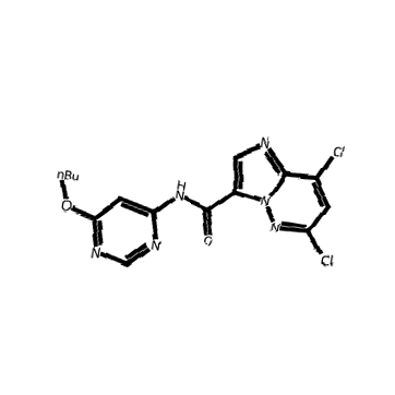 CCCCOc1cc(NC(=O)c2cnc3c(Cl)cc(Cl)nn23)ncn1